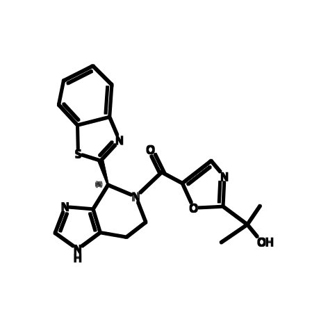 CC(C)(O)c1ncc(C(=O)N2CCc3[nH]cnc3[C@H]2c2nc3ccccc3s2)o1